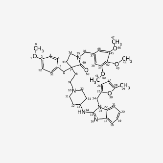 COc1ccc(CC2(CCN3CCC(Nc4nc5ccccc5n4Cc4ccc(C)o4)CC3)CCN(Cc3cc(OC)c(OC)c(OC)c3)C2=O)cc1